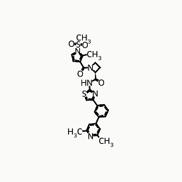 Cc1cc(-c2cccc(-c3csc(NC(=O)[C@@H]4CCN4C(=O)c4ccn(S(C)(=O)=O)c4C)n3)c2)cc(C)n1